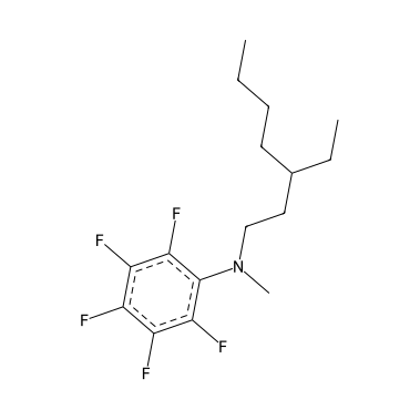 CCCCC(CC)CCN(C)c1c(F)c(F)c(F)c(F)c1F